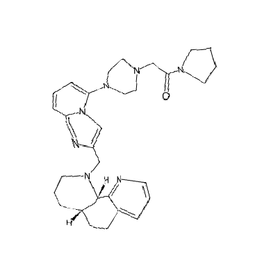 O=C(CN1CCN(c2cccc3nc(CN4CCC[C@H]5CCc6cccnc6[C@H]54)cn23)CC1)N1CCCC1